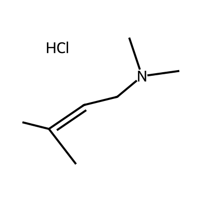 CC(C)=CCN(C)C.Cl